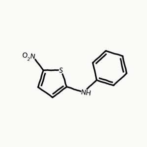 O=[N+]([O-])c1ccc(Nc2ccccc2)s1